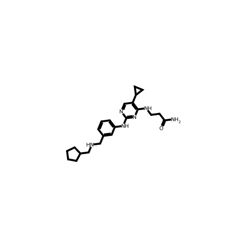 NC(=O)CCNc1nc(Nc2cccc(CNCC3CCCC3)c2)ncc1C1CC1